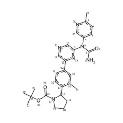 Cc1ccc(N(C(N)=O)c2cncc(-c3ccc(C4CCCN4C(=O)OC(C)(C)C)c(C)c3)n2)cn1